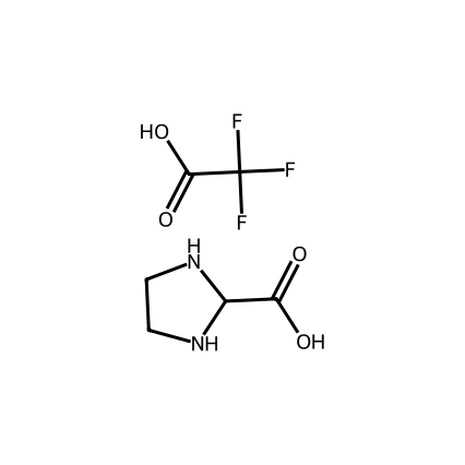 O=C(O)C(F)(F)F.O=C(O)C1NCCN1